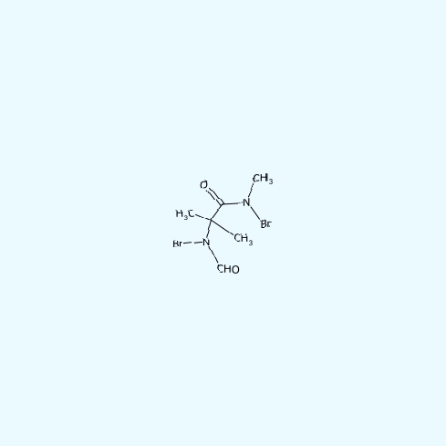 CN(Br)C(=O)C(C)(C)N(Br)C=O